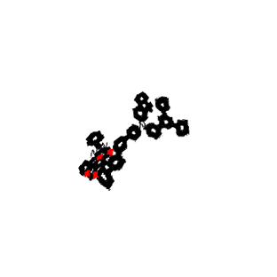 CC1(C)c2ccccc2-c2ccc(N(c3ccc(-c4ccc5c(c4)c4ccc6c(c4n5-c4nc(-c5ccccc5)nc(-c5ccccc5)n4)C4(c5ccccc5-c5ccccc54)c4ccccc4-6)cc3)c3cccc(-c4cc(-c5ccccc5)cc(-c5ccccc5)c4)c3)cc21